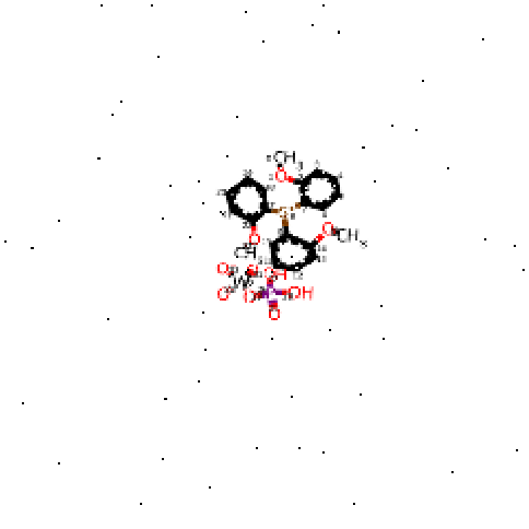 COc1ccccc1[S+](c1ccccc1OC)c1ccccc1OC.O=P(O)(O)[O][W](=[O])(=[O])[O-]